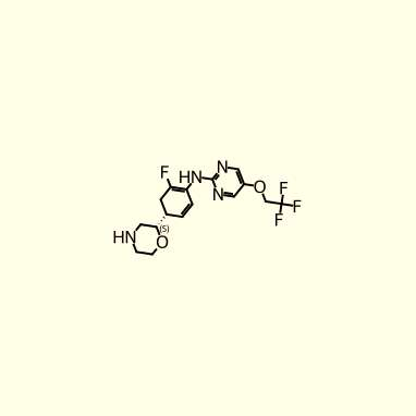 FC1=C(Nc2ncc(OCC(F)(F)F)cn2)C=CC([C@H]2CNCCO2)C1